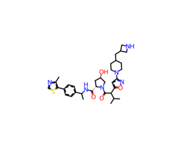 Cc1ncsc1-c1ccc(C(C)NC(=O)[C@@H]2C[C@@H](O)CN2C(=O)C(c2cc(N3CCC(CC4CNC4)CC3)no2)C(C)C)cc1